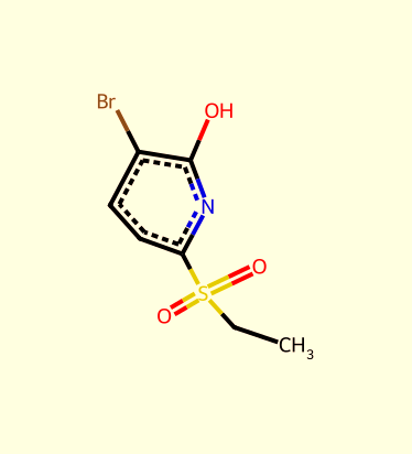 CCS(=O)(=O)c1ccc(Br)c(O)n1